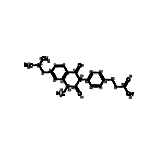 CN(C)Cc1ccc2c(=O)n(-c3ccc(CCC(=O)O)cc3)c(=O)n(C)c2c1